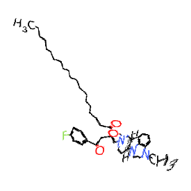 CCCCCCCCCCCCCCCCCCCC(=O)OC[N+]1(CCCC(=O)c2ccc(F)cc2)CC[C@H]2[C@@H](C1)c1cccc3c1N2CCN3C